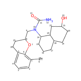 CC(C)c1cccc2c1OC(CN(C(N)=O)C1CCCC3CCC(O)CC31)CC2